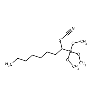 CCCCCCCC(SC#N)[Si](OC)(OC)OC